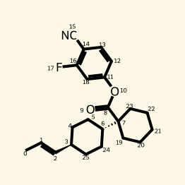 C/C=C/[C@H]1CC[C@H](C2(C(=O)Oc3ccc(C#N)c(F)c3)CCCCC2)CC1